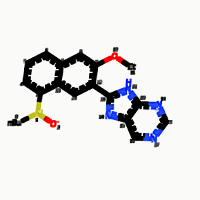 CCCC[S+]([O-])c1cccc2cc(OCC)c(-c3nc4cncnc4[nH]3)cc12